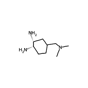 CN(C)CC1CC[C@H](N)[C@H](N)C1